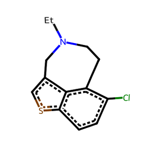 CCN1CCc2c(Cl)ccc3scc(c23)C1